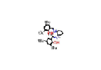 CC(C)(C)c1cc(C=[N+]C2CCCCC2[N+]([Co])=Cc2cc(C(C)(C)C)cc(C(C)(C)C)c2O)c(O)c(C(C)(C)C)c1